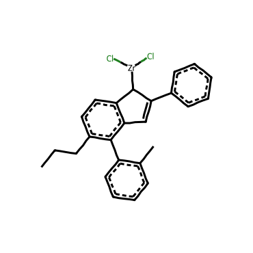 CCCc1ccc2c(c1-c1ccccc1C)C=C(c1ccccc1)[CH]2[Zr]([Cl])[Cl]